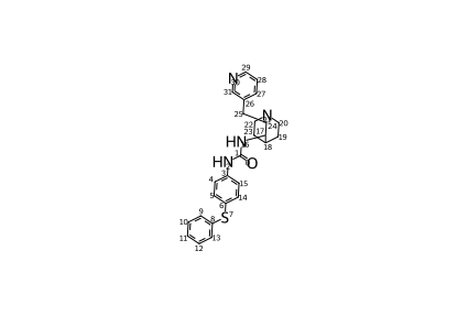 O=C(Nc1ccc(Sc2ccccc2)cc1)NC1C2CCN(CC2)C1Cc1cccnc1